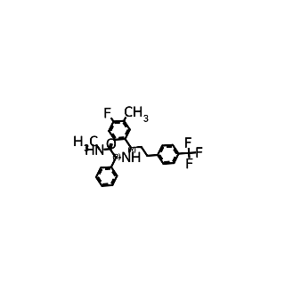 CNC(=O)[C@H](N[C@H](CCc1ccc(C(F)(F)F)cc1)c1ccc(F)c(C)c1)c1ccccc1